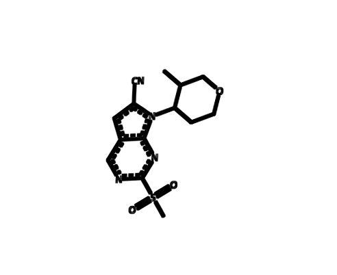 CC1COCCC1n1c(C#N)cc2cnc(S(C)(=O)=O)nc21